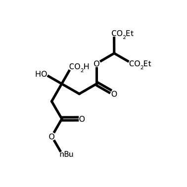 CCCCOC(=O)CC(O)(CC(=O)OC(C(=O)OCC)C(=O)OCC)C(=O)O